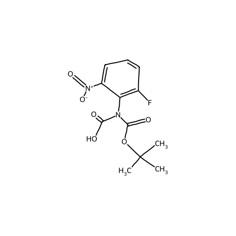 CC(C)(C)OC(=O)N(C(=O)O)c1c(F)cccc1[N+](=O)[O-]